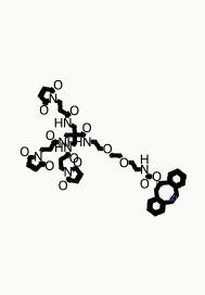 O=C(CCN1C(=O)C=CC1=O)NCC(CNC(=O)CCN1C(=O)C=CC1=O)(CNC(=O)CCN1C(=O)C=CC1=O)C(=O)NCCOCCOCCNC(=O)O[C@@H]1Cc2ccccc2/C=C\c2ccccc21